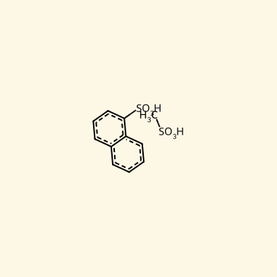 CS(=O)(=O)O.O=S(=O)(O)c1cccc2ccccc12